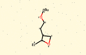 CCCCOCCC1COC1CC